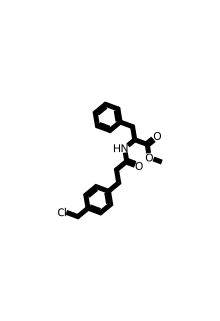 COC(=O)C(Cc1ccccc1)NC(=O)CCc1ccc(CCl)cc1